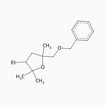 CCC1CC(C)(COCc2ccccc2)OC1(C)C